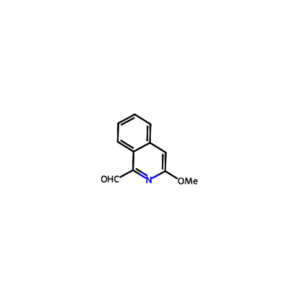 COc1cc2ccccc2c(C=O)n1